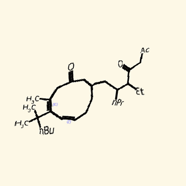 CCCCC(C)(C)C1=C(\C)CC(=O)CC(CC(CCC)C(CC)C(=O)CC(C)=O)CC/C=C\1